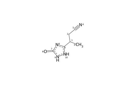 CC(CC#N)c1nc(=O)[nH][nH]1